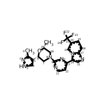 Cc1n[nH]cc1[C@H]1CN(c2nccc(-c3cnc4ccc(C(F)(F)F)cn34)n2)C[C@@H](C)O1